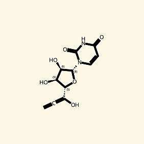 C=C=C(O)[C@H]1O[C@@H](n2ccc(=O)[nH]c2=O)[C@H](O)[C@@H]1O